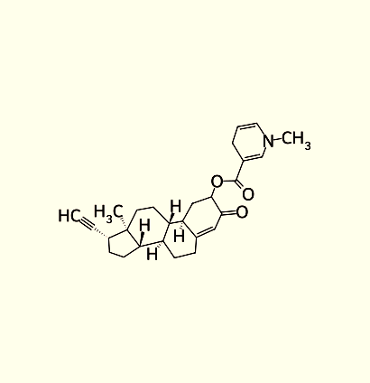 C#C[C@H]1CC[C@H]2[C@@H]3CCC4=CC(=O)C(OC(=O)C5=CN(C)C=CC5)C[C@@H]4[C@H]3CC[C@]12C